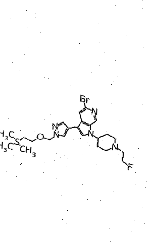 CS(C)(C)CCOCn1cc(-c2cn(C3CCN(CCF)CC3)c3cnc(Br)cc23)cn1